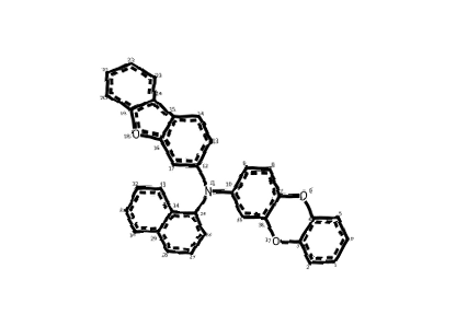 c1ccc2c(c1)Oc1ccc(N(c3ccc4c(c3)oc3ccccc34)c3cccc4ccccc34)cc1O2